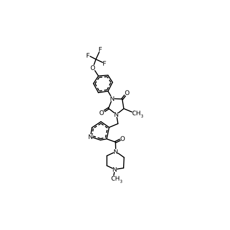 CC1C(=O)N(c2ccc(OC(F)(F)F)cc2)C(=O)N1Cc1ccncc1C(=O)N1CCN(C)CC1